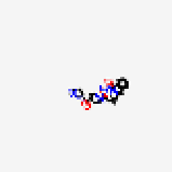 C=C/C(=C\N(C)C)C(=O)C1CCN(C(=O)CC(C)(C)Cc2cc3ccccc3c(=O)[nH]2)CC1